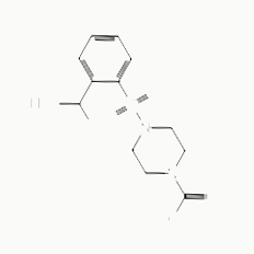 CC(=O)N1CCN(S(=O)(=O)c2ccccc2C(C)C)CC1